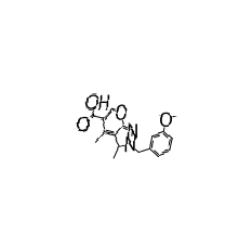 COc1cccc(CN2N=C3OC=C(C(=O)O)C(C)=C3C2C)c1